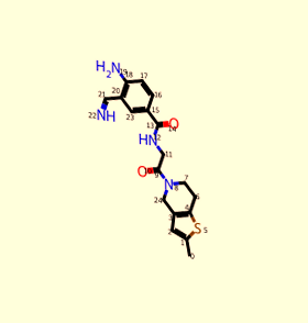 Cc1cc2c(s1)CCN(C(=O)CNC(=O)c1ccc(N)c(C=N)c1)C2